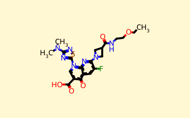 CCOCCNC(=O)C1CN(c2nc3c(cc2F)c(=O)c(C(=O)O)cn3-c2nc(N(C)C)ns2)C1